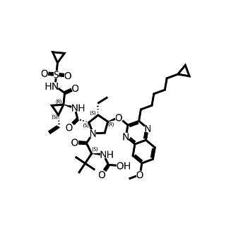 C=C[C@@H]1C[C@]1(NC(=O)[C@@H]1[C@H](CC)[C@@H](Oc2nc3cc(OC)ccc3nc2CCCCCC2CC2)CN1C(=O)[C@@H](NC(=O)O)C(C)(C)C)C(=O)NS(=O)(=O)C1CC1